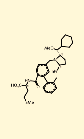 CCC[C@@H]1CC[C@@H](C(OC)C2CCCCC2)N1Cc1ccc(C(=O)N[C@@H](CCSC)C(=O)O)c(-c2ccccc2C)c1